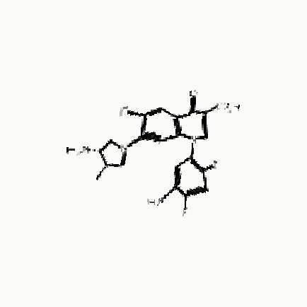 C[C@@H]1CN(c2cc3c(cc2F)c(=O)c(C(=O)O)cn3-c2cc(N)c(F)cc2F)C[C@H]1N